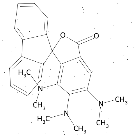 CN(C)c1cc2c(c(N(C)C)c1N(C)C)C1(OC2=O)c2ccccc2-c2ccccc21